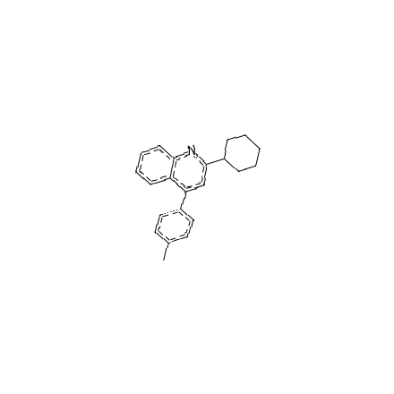 Cc1ccc(-c2cc(C3CCCCC3)nc3ccccc23)cc1